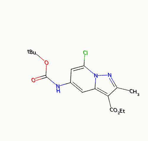 CCOC(=O)c1c(C)nn2c(Cl)cc(NC(=O)OC(C)(C)C)cc12